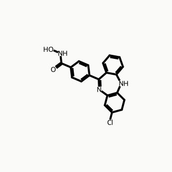 O=C(NO)c1ccc(C2=NC3=C(CCC(Cl)=C3)Nc3ccccc32)cc1